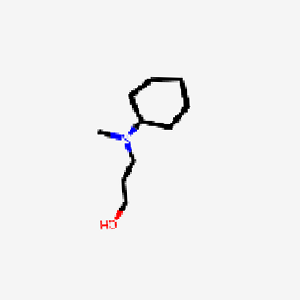 CN(CCCO)C1CCCCC1